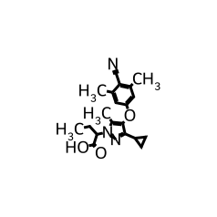 CCC(C(=O)O)n1nc(C2CC2)c(Oc2cc(C)c(C#N)c(C)c2)c1C